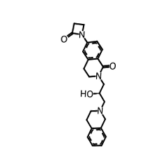 O=C1c2ccc(N3CCC3=O)cc2CCN1C[C@H](O)CN1CCc2ccccc2C1